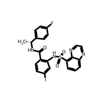 C[C@@H](NC(=O)c1ccc(I)cc1NS(=O)(=O)c1cccc2nccnc12)c1ccc(F)cc1